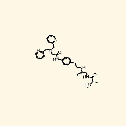 C[C@@H](N)C(=O)NCC(=O)NCCc1ccc(NC(=O)CN(Cc2ccccn2)Cc2ccccn2)cc1